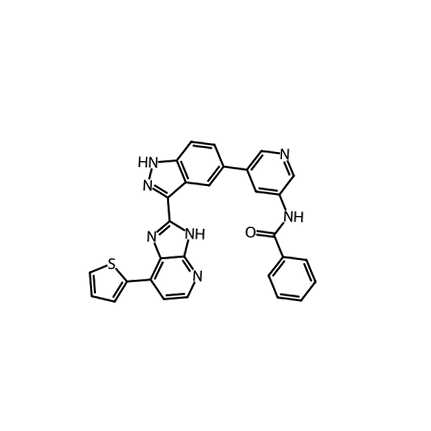 O=C(Nc1cncc(-c2ccc3[nH]nc(-c4nc5c(-c6cccs6)ccnc5[nH]4)c3c2)c1)c1ccccc1